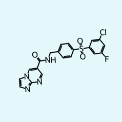 O=C(NCc1ccc(S(=O)(=O)c2cc(F)cc(Cl)c2)cc1)c1cnc2nccn2c1